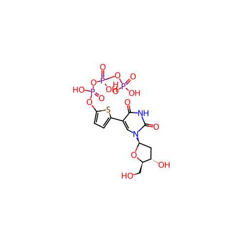 O=c1[nH]c(=O)n([C@H]2C[C@H](O)[C@@H](CO)O2)cc1-c1ccc(OP(=O)(O)OP(=O)(O)OP(=O)(O)O)s1